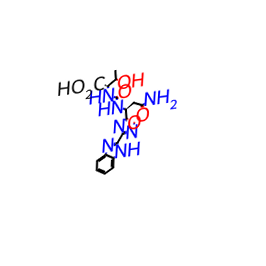 CC(O)[C@H](NC(=O)N[C@@H](CC(N)=O)c1nc(-c2nc3ccccc3[nH]2)no1)C(=O)O